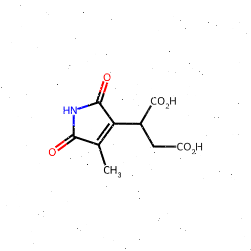 CC1=C(C(CC(=O)O)C(=O)O)C(=O)NC1=O